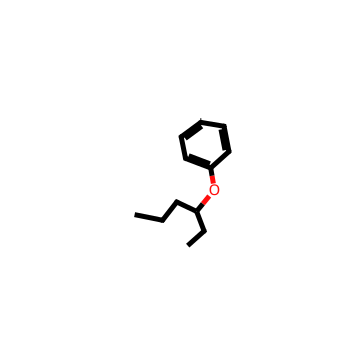 CCCC(CC)Oc1cc[c]cc1